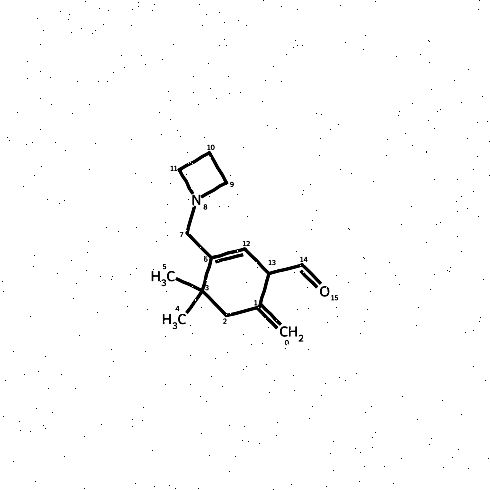 C=C1CC(C)(C)C(CN2CCC2)=CC1C=O